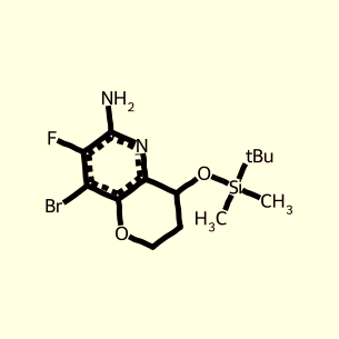 CC(C)(C)[Si](C)(C)OC1CCOc2c1nc(N)c(F)c2Br